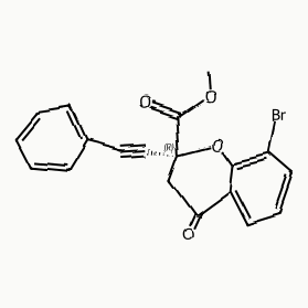 COC(=O)[C@]1(C#Cc2ccccc2)CC(=O)c2cccc(Br)c2O1